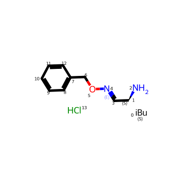 CC[C@H](C)[C@H](N)/C=N/OCc1ccccc1.Cl